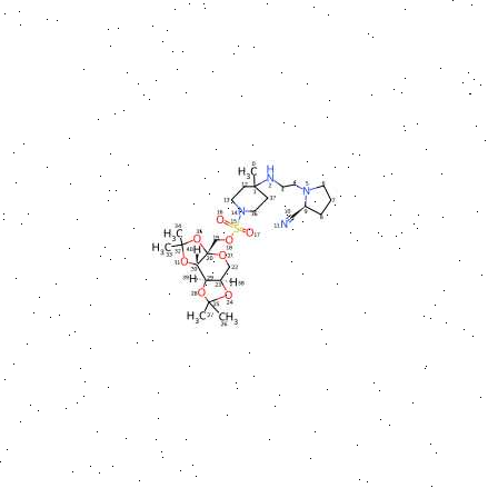 CC1(NCCN2CCC[C@H]2C#N)CCN(S(=O)(=O)OC[C@@]23OC[C@H]4OC(C)(C)O[C@H]4[C@@H]2OC(C)(C)O3)CC1